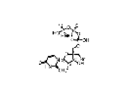 C=C1NC(=O)C=CN1[C@@H]1O[C@](CBr)(COP(=O)(O)OP(=O)(O)OP(=O)(O)O)[C@@H](O)[C@@H]1F